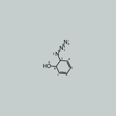 [N-]=[N+]=NC1C=CC=CC1O